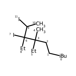 CCC(C)CCC(C)(CC)C(I)(CC)C(C)I